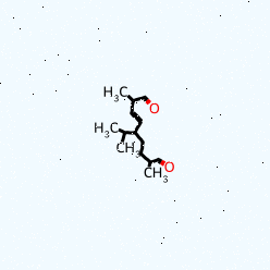 CC(C=O)C=CC(CCC(C)C=O)C(C)C